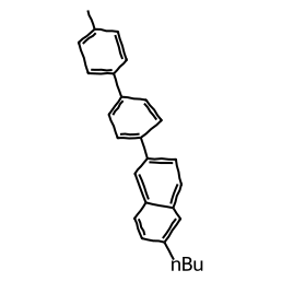 CCCCc1ccc2cc(-c3ccc(-c4ccc(C)cc4)cc3)ccc2c1